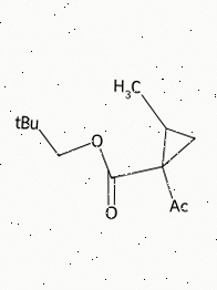 CC(=O)C1(C(=O)OCC(C)(C)C)CC1C